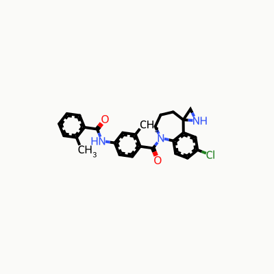 Cc1ccccc1C(=O)Nc1ccc(C(=O)N2CCCC3(CN3)c3cc(Cl)ccc32)c(C)c1